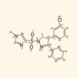 Cn1cnc(S(=O)(=O)N2CC(c3cccc(Cl)c3)C(c3ccccc3)=N2)c1